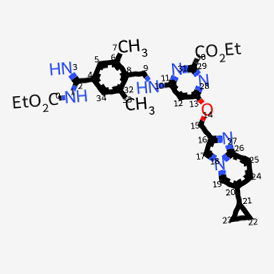 CCOC(=O)NC(=N)c1cc(C)c(CNc2cc(OCc3cn4cc(C5CC5)ccc4n3)nc(C(=O)OCC)n2)c(C)c1